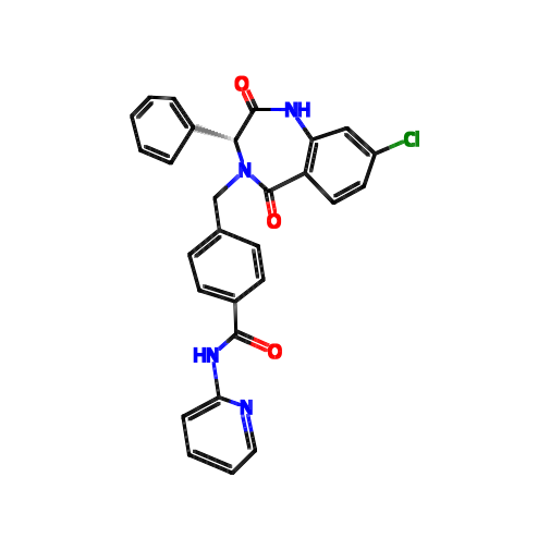 O=C(Nc1ccccn1)c1ccc(CN2C(=O)c3ccc(Cl)cc3NC(=O)[C@H]2c2ccccc2)cc1